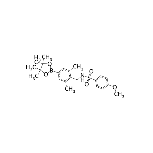 COc1ccc(S(=O)(=O)NCc2c(C)cc(B3OC(C)(C)C(C)(C)O3)cc2C)cc1